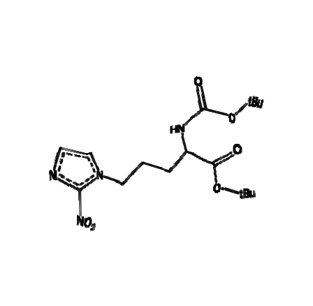 CC(C)(C)OC(=O)NC(CCCn1ccnc1[N+](=O)[O-])C(=O)OC(C)(C)C